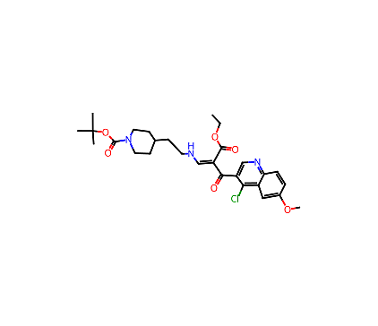 CCOC(=O)/C(=C\NCCC1CCN(C(=O)OC(C)(C)C)CC1)C(=O)c1cnc2ccc(OC)cc2c1Cl